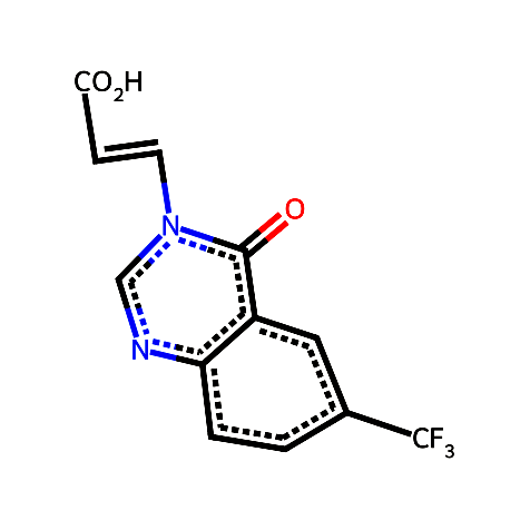 O=C(O)/C=C/n1cnc2ccc(C(F)(F)F)cc2c1=O